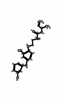 C=CC(C)OC(=O)NCCOc1ccc(Oc2cccc(Cl)c2)cc1Cl